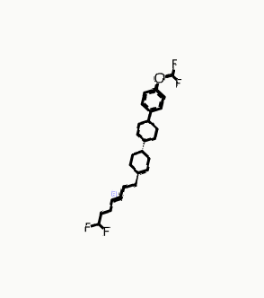 FC(F)CC/C=C/CC[C@H]1CC[C@H](C2CCC(c3ccc(OC(F)F)cc3)CC2)CC1